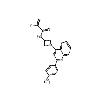 C=C(F)C(=O)NC1CN(c2nc(-c3ccc(C(F)(F)F)cc3)nc3ccccc23)C1